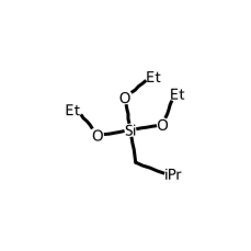 [CH2]C(C)C[Si](OCC)(OCC)OCC